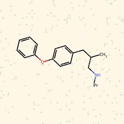 CC(CNC(C)C)Cc1ccc(Oc2ccccc2)cc1